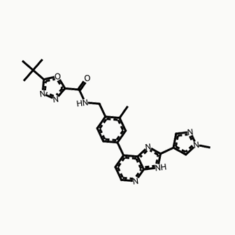 Cc1cc(-c2ccnc3[nH]c(-c4cnn(C)c4)nc23)ccc1CNC(=O)c1nnc(C(C)(C)C)o1